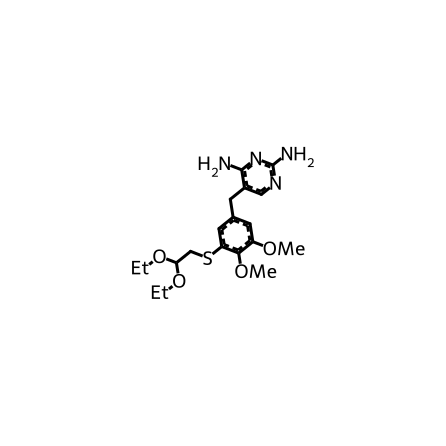 CCOC(CSc1cc(Cc2cnc(N)nc2N)cc(OC)c1OC)OCC